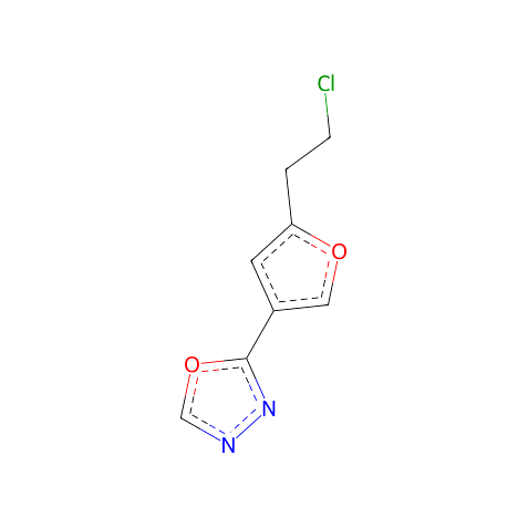 ClCCc1cc(-c2nnco2)co1